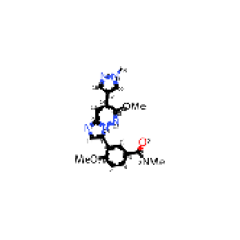 CNC(=O)c1ccc(OC)c(-c2cnc3cc(-c4cnn(C)c4)c(OC)nn23)c1